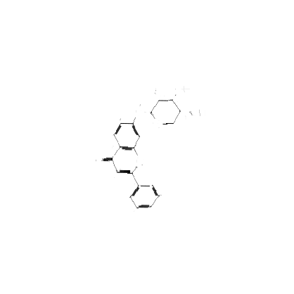 O=c1cc(-c2ccccc2)oc2cc(O[C@H]3SC[C@@H](O)[C@H](O)[C@H]3O)ccc12